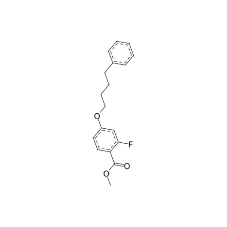 COC(=O)c1ccc(OCCCCc2ccccc2)cc1F